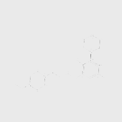 CCN1CCN(CCCOc2cc(Cl)cc(N3CCNCC3)c2C)CC1